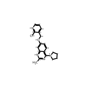 Cc1nc(N2CCCC2)c2ccc(OCc3cccnc3Cl)cc2n1